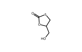 O=C1OC(CO)CS1